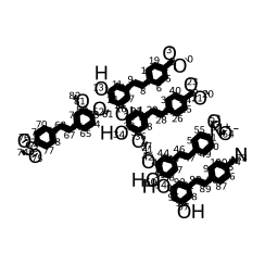 COC(=O)c1ccc(C=Cc2cc(O)cc(O)c2)cc1.COC(=O)c1ccc(C=Cc2ccc(O)c(OC)c2)cc1.COc1cc(C=Cc2ccc([N+](=O)[O-])cc2)ccc1O.COc1ccc(C=Cc2ccc(S(C)(=O)=O)cc2)cc1OC.N#Cc1ccc(C=Cc2cc(O)cc(O)c2)cc1